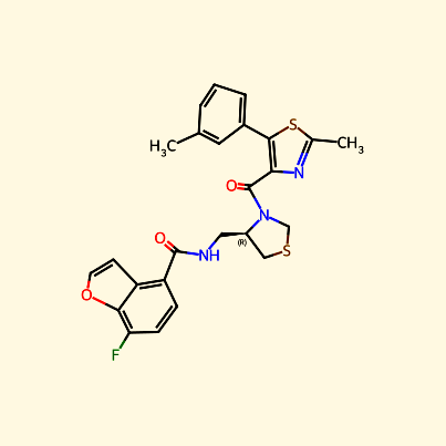 Cc1cccc(-c2sc(C)nc2C(=O)N2CSC[C@H]2CNC(=O)c2ccc(F)c3occc23)c1